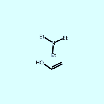 C=CO.CCN(CC)CC